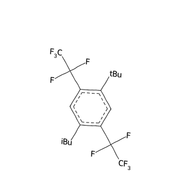 CCC(C)c1cc(C(F)(F)C(F)(F)F)c(C(C)(C)C)cc1C(F)(F)C(F)(F)F